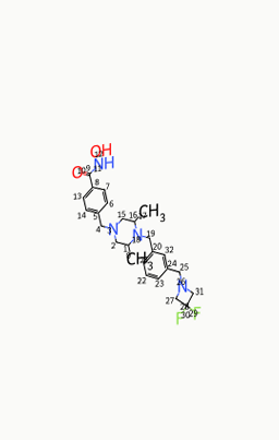 CC1CN(Cc2ccc(C(=O)NO)cc2)CC(C)N1Cc1cccc(CN2CC(F)(F)C2)c1